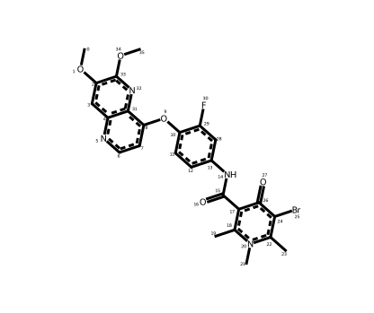 COc1cc2nccc(Oc3ccc(NC(=O)c4c(C)n(C)c(C)c(Br)c4=O)cc3F)c2nc1OC